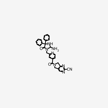 N#Cc1ncc2c(n1)CN(C(=O)c1ccnc(CN3C(=O)C(c4ccccc4)(c4ccccc4)NC3N)c1)C2